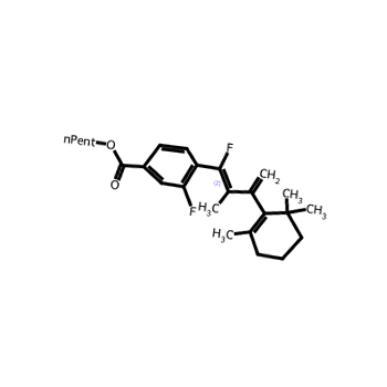 C=C(C1=C(C)CCCC1(C)C)/C(C)=C(\F)c1ccc(C(=O)OCCCCC)cc1F